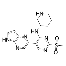 CS(=O)(=O)c1ncc(-c2cnc3[nH]ccc3n2)c(N[C@H]2CCCNC2)n1